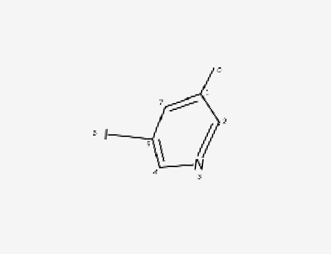 Cc1[c]ncc(I)c1